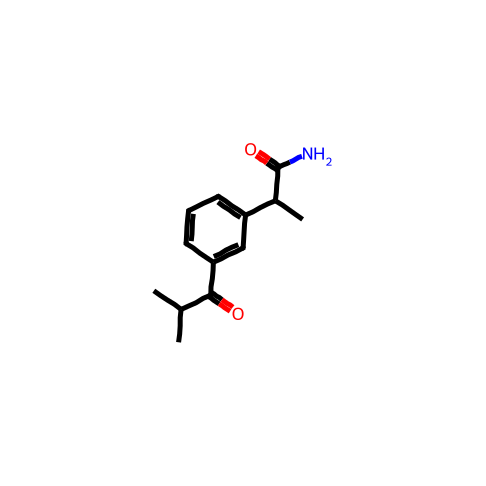 CC(C)C(=O)c1cccc(C(C)C(N)=O)c1